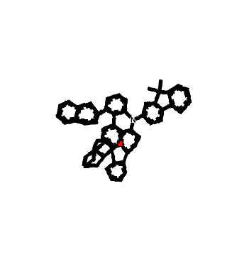 CC1(C)c2ccccc2-c2ccc(N(c3ccc4c(c3)C3(c5ccccc5-4)C4CC5CC(C4)C3C5)c3cccc(-c4ccc5ccccc5c4)c3-c3ccccc3)cc21